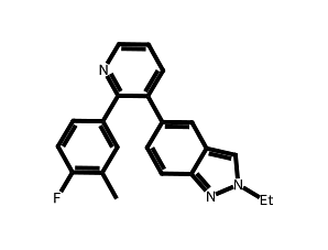 CCn1cc2cc(-c3cccnc3-c3ccc(F)c(C)c3)ccc2n1